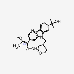 CO/C(N)=C(\c1cnc2c3c(n(CC4CCOCC4)c2c1)=CC(C(C)(C)O)CC=3)N(C)N